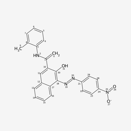 C=C(Nc1ccccc1C)c1cc2ccccc2c(/N=N/c2ccc([N+](=O)[O-])cc2)c1O